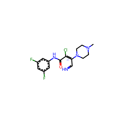 CN1CCN(/C(C=N)=C(\Cl)C(=O)Nc2cc(F)cc(F)c2)CC1